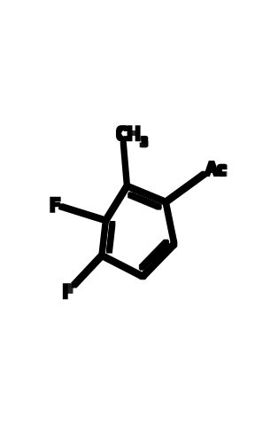 CC(=O)c1ccc(F)c(F)c1C